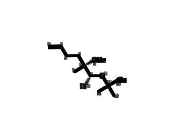 C=CCC[C@@](C)(OC)[C@@H](CC)O[Si](C)(C)C(C)(C)C